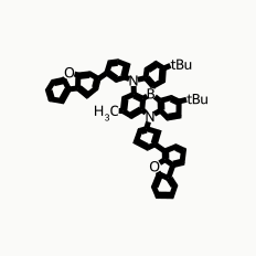 Cc1cc2c3c(c1)N(c1cccc(-c4cccc5c4oc4ccccc45)c1)c1ccc(C(C)(C)C)cc1B3c1cc(C(C)(C)C)ccc1N2c1cccc(-c2ccc3c(c2)oc2ccccc23)c1